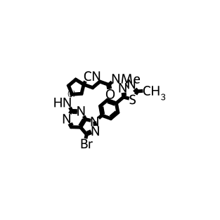 CNC(=O)CCC1(C#N)CC[C@@H](Nc2ncc3c(Br)nn(-c4ccc(-c5nnc(C)s5)cc4)c3n2)C1